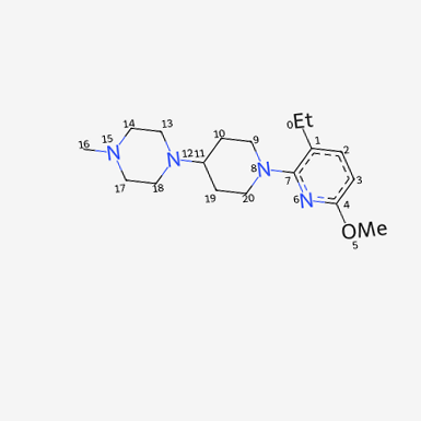 CCc1ccc(OC)nc1N1CCC(N2CCN(C)CC2)CC1